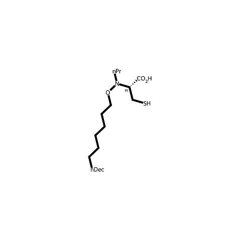 CCCCCCCCCCCCCCCCON(CCC)[C@@H](CS)C(=O)O